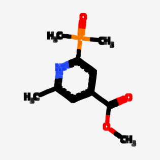 COC(=O)c1cc(C)nc(P(C)(C)=O)c1